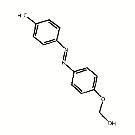 Cc1ccc(/N=N/c2ccc(OCO)cc2)cc1